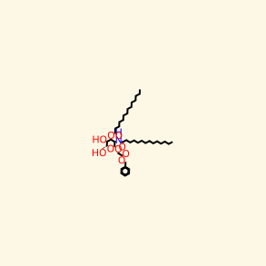 CCCCCCCCCCCCCC(=O)N[C@H]1[C@@H](OCC(=O)OCc2ccccc2)O[C@H](CO)[C@@H](O)[C@@H]1OC(=O)CCCCCCCCCCCCC